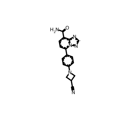 N#CC1CN(c2ccc(-c3ccc(C(N)=O)c4n[c]nn34)cc2)C1